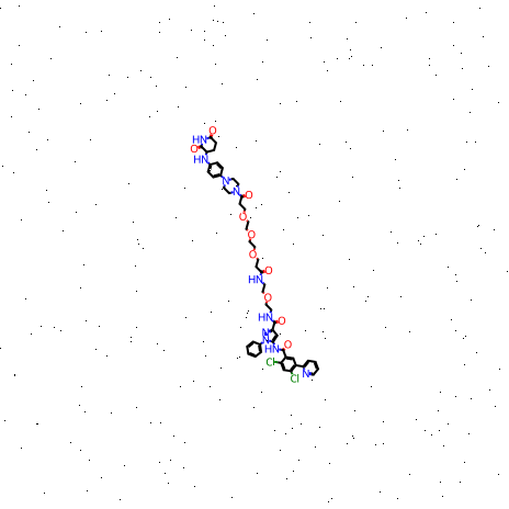 O=C(CCOCCOCCOCCC(=O)N1CCN(c2ccc(NC3CCC(=O)NC3=O)cc2)CC1)NCCOCCNC(=O)c1cc(NC(=O)c2cc(-c3ccccn3)c(Cl)cc2Cl)n(-c2ccccc2)n1